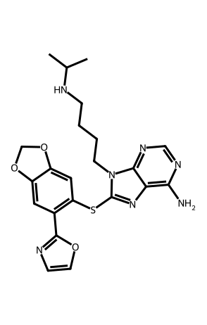 CC(C)NCCCCn1c(Sc2cc3c(cc2-c2ncco2)OCO3)nc2c(N)ncnc21